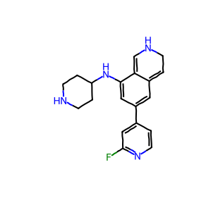 Fc1cc(-c2cc(NC3CCNCC3)c3c(c2)=CCNC=3)ccn1